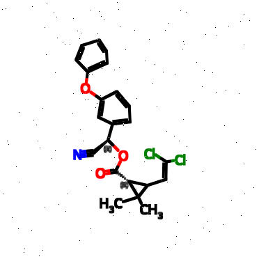 CC1(C)C(C=C(Cl)Cl)[C@H]1C(=O)O[C@@H](C#N)c1cccc(Oc2ccccc2)c1